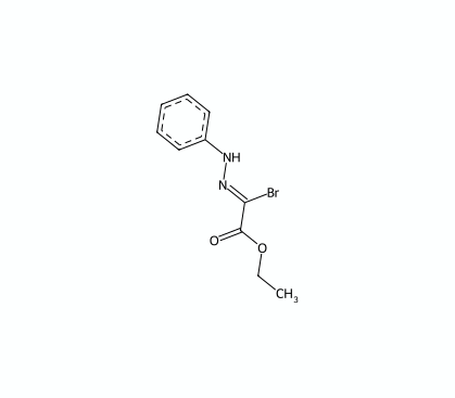 CCOC(=O)C(Br)=NNc1ccccc1